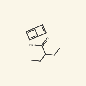 CCC(CC)C(=O)O.c1cc2ccc1-2